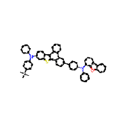 C[Si](C)(C)c1ccc(N(c2ccccc2)c2ccc3c(c2)sc2c4ccc(-c5ccc(N(c6ccccc6)c6cccc7c6oc6ccccc67)cc5)cc4c4ccccc4c32)cc1